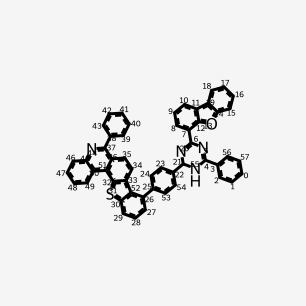 c1ccc(C2=NC(c3cccc4c3oc3ccccc34)=NC(c3ccc(-c4cccc5sc6c(ccc7c(-c8ccccc8)nc8ccccc8c76)c45)cc3)N2)cc1